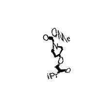 COC(=O)N1CCC(OCC(=O)C(C)C)CC1